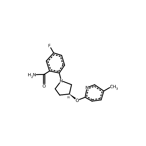 Cc1ccc(O[C@H]2CCN(c3ccc(F)cc3C(N)=O)C2)nc1